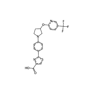 O=C(O)c1csc(-c2ccc(N3CCC(Oc4ccc(C(F)(F)F)cn4)C3)cc2)n1